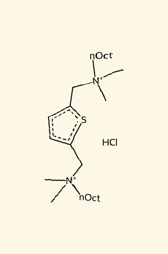 CCCCCCCC[N+](C)(C)Cc1ccc(C[N+](C)(C)CCCCCCCC)s1.Cl